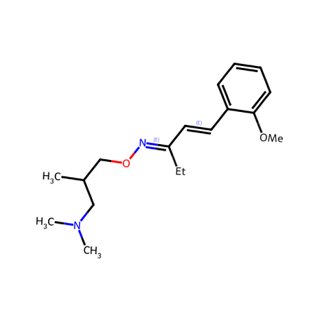 CCC(/C=C/c1ccccc1OC)=N\OCC(C)CN(C)C